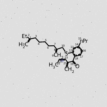 C=C(CC)CCCCCC(=C)CSc1cc(CCC)ccc1C(=O)C(=C)/C=C\C